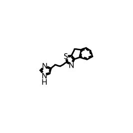 c1ccc2c(c1)Cc1sc(CCc3c[nH]cn3)nc1-2